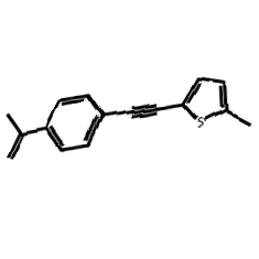 C=C(C)c1ccc(C#Cc2ccc(C)s2)cc1